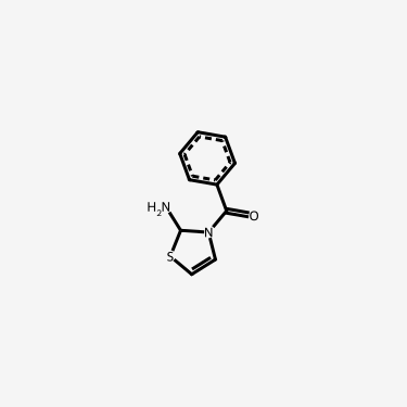 NC1SC=CN1C(=O)c1ccccc1